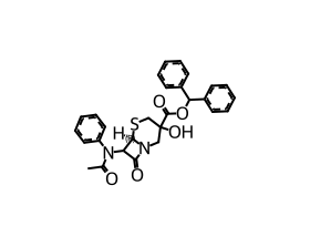 CC(=O)N(c1ccccc1)C1C(=O)N2CC(O)(C(=O)OC(c3ccccc3)c3ccccc3)CS[C@H]12